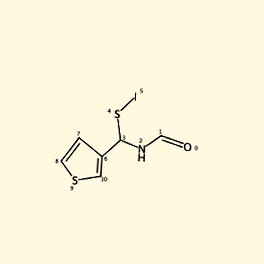 O=CNC(SI)c1ccsc1